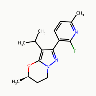 Cc1ccc(-c2nn3c(c2C(C)C)O[C@H](C)CC3)c(F)n1